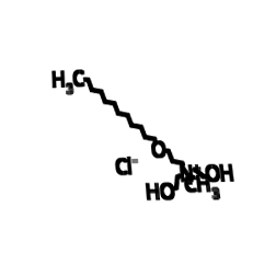 CCCCCCCCCCCCOCCC[N+](C)(CCO)CCO.[Cl-]